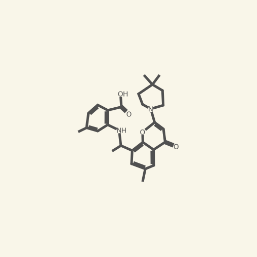 Cc1ccc(C(=O)O)c(NC(C)c2cc(C)cc3c(=O)cc(N4CCC(C)(C)CC4)oc23)c1